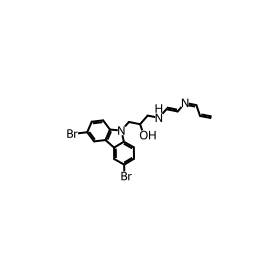 C=C/C=N\C=C\NCC(O)Cn1c2ccc(Br)cc2c2cc(Br)ccc21